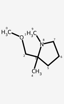 COCC1(C)CCCN1C